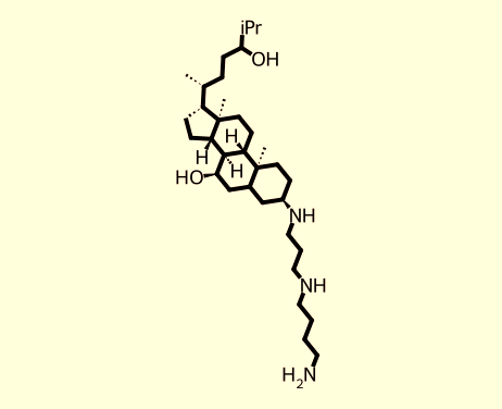 CC(C)C(O)CC[C@@H](C)[C@H]1CC[C@H]2[C@@H]3[C@H](O)CC4C[C@H](NCCCNCCCCN)CC[C@]4(C)[C@H]3CC[C@]12C